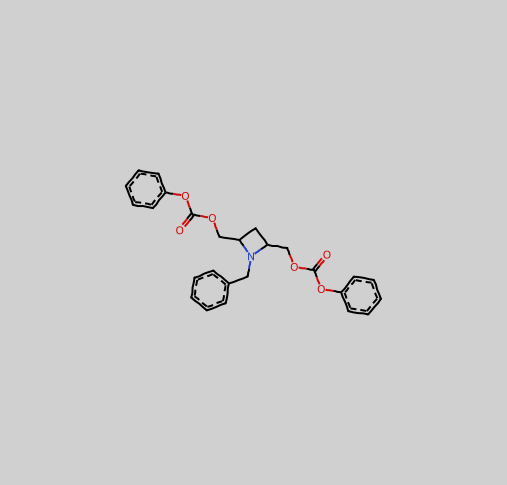 O=C(OCC1CC(COC(=O)Oc2ccccc2)N1Cc1ccccc1)Oc1ccccc1